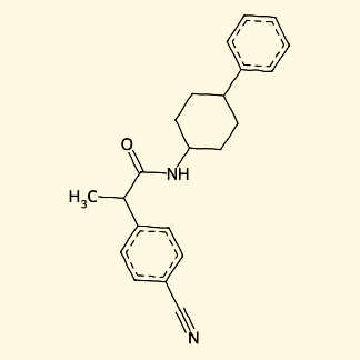 CC(C(=O)NC1CCC(c2ccccc2)CC1)c1ccc(C#N)cc1